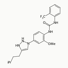 COc1cc(N2C=C(CCC(C)C)NN2)ccc1NC(=O)Nc1ccccc1C(F)(F)F